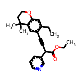 CCOC(=O)C(C#Cc1cc2c(cc1CC)OCCC2(C)C)c1cccnc1